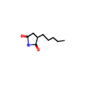 CCCCCC1CC(=O)[N]C1=O